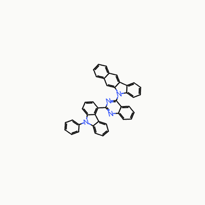 c1ccc(-n2c3ccccc3c3c(-c4nc(-n5c6ccccc6c6cc7ccccc7cc65)c5ccccc5n4)cccc32)cc1